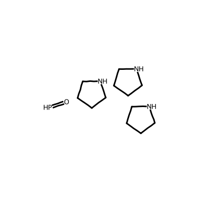 C1CCNC1.C1CCNC1.C1CCNC1.O=P